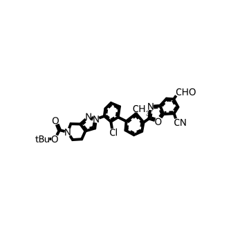 Cc1c(-c2nc3cc(C=O)cc(C#N)c3o2)cccc1-c1cccc(-n2cc3c(n2)CN(C(=O)OC(C)(C)C)CC3)c1Cl